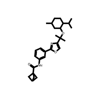 CC1CCC(C(C)C)C(OC(C)(C)c2coc(-c3cccc(NC(=O)C45CC(C4)C5)c3)n2)C1